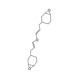 C(=COC=CCC1CCC2OC2C1)CC1CCC2OC2C1